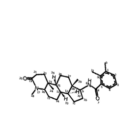 Cc1cccc(C(=O)NC2CC[C@H]3[C@@H]4CCC5N(C)C(=O)CC[C@]5(C)[C@@H]4CC[C@]23C)c1C